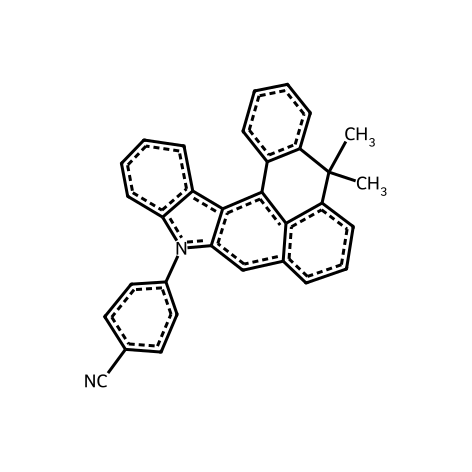 CC1(C)c2ccccc2-c2c3c1cccc3cc1c2c2ccccc2n1-c1ccc(C#N)cc1